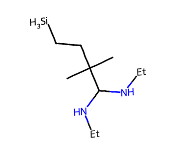 CCNC(NCC)C(C)(C)CC[SiH3]